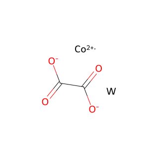 O=C([O-])C(=O)[O-].[Co+2].[W]